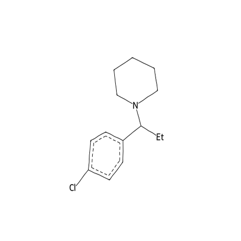 [CH2]CC(c1ccc(Cl)cc1)N1CCCCC1